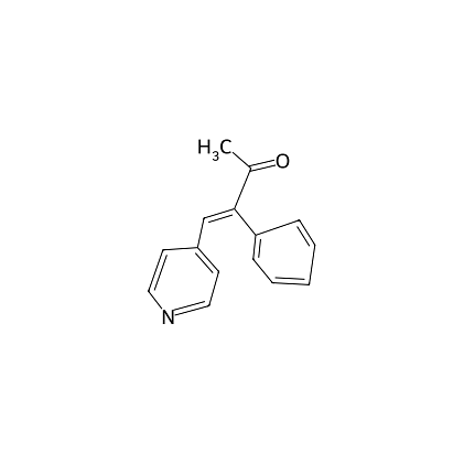 CC(=O)/C(=C/c1ccncc1)c1ccccc1